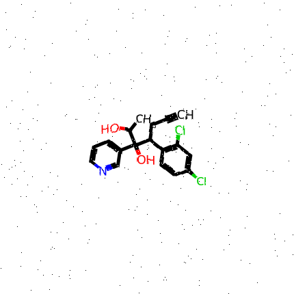 C#CCC(c1ccc(Cl)cc1Cl)C(O)(c1cccnc1)C(C)O